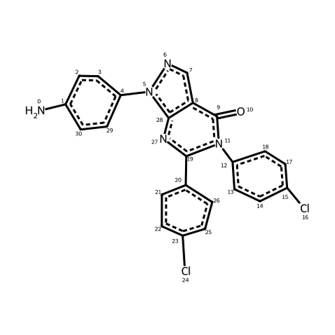 Nc1ccc(-n2ncc3c(=O)n(-c4ccc(Cl)cc4)c(-c4ccc(Cl)cc4)nc32)cc1